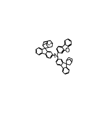 c1ccc2c(c1)-c1ccc(N(c3ccc4c(c3)C3(c5ccccc5-4)C4CCC5CC(C4)CC3C5)c3ccc4c(c3)oc3ccccc34)cc1C21CC2CCC1C2